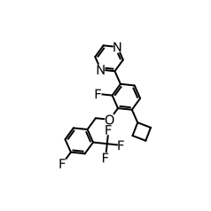 Fc1ccc(COc2c(C3CCC3)ccc(-c3cnccn3)c2F)c(C(F)(F)F)c1